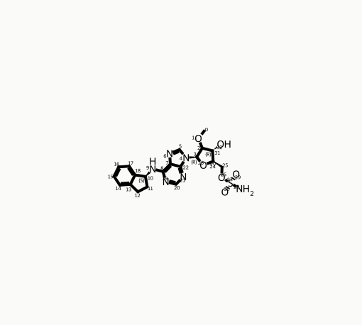 COC1[C@H](n2cnc3c(N[C@H]4CCc5ccccc54)ncnc32)O[C@H](COS(N)(=O)=O)[C@H]1O